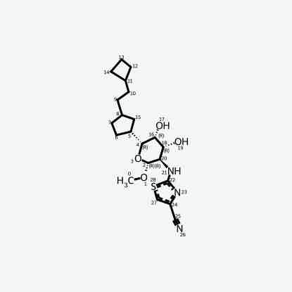 CO[C@@H]1O[C@H](C2CCC(CCC3CCC3)C2)[C@H](O)[C@H](O)[C@H]1Nc1nc(C#N)cs1